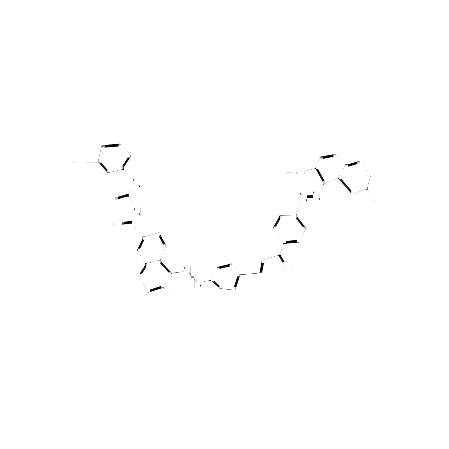 CC1C=c2c(N=Nc3ccc(C(=O)C=Cc4ccc(N=Nc5c(O)ccc6cc(C(=O)NC(=O)Nc7cccc(Cl)c7)ccc56)cc4)cc3)c(O)ccc2=CC1